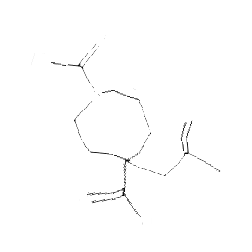 C=C(C)CC1(C(=O)O)CCN(C(=O)O)[C@H](C)C1